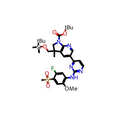 COc1cc(S(C)(=O)=O)c(F)cc1Nc1nccc(-c2cnc3c(c2)C(C)(CO[Si](C)(C)C(C)(C)C)CN3C(=O)OC(C)(C)C)n1